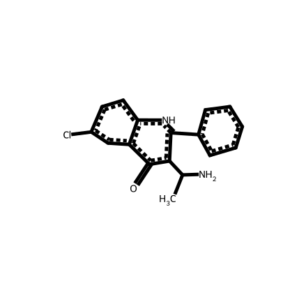 CC(N)c1c(-c2ccccc2)[nH]c2ccc(Cl)cc2c1=O